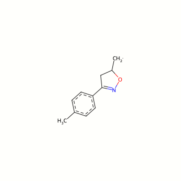 [CH2]C1CC(c2ccc(C)cc2)=NO1